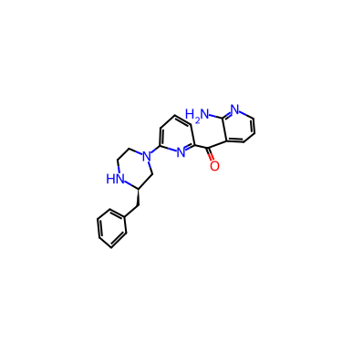 Nc1ncccc1C(=O)c1cccc(N2CCN[C@H](Cc3ccccc3)C2)n1